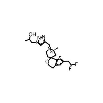 CC(O)Cn1cc(CN2CCC3(C[C@@H]2C)OCCc2cc(CC(F)F)sc23)nn1